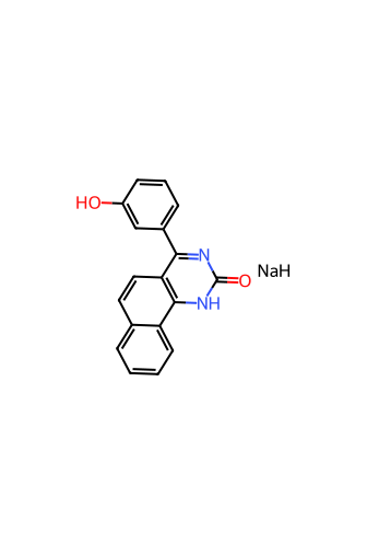 O=c1nc(-c2cccc(O)c2)c2ccc3ccccc3c2[nH]1.[NaH]